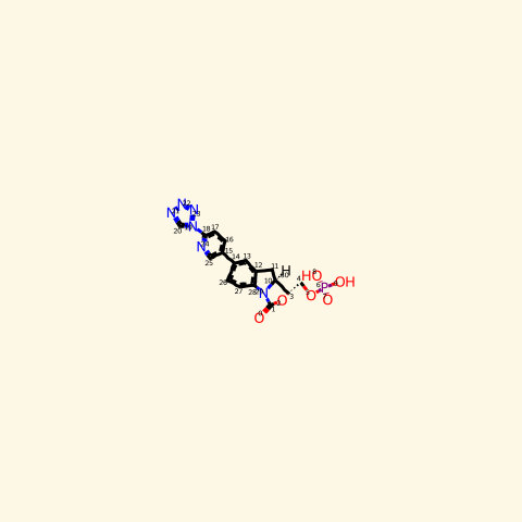 O=C1O[C@@H](COP(=O)(O)O)[C@@H]2Cc3cc(-c4ccc(-n5cnnn5)nc4)ccc3N12